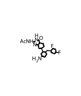 CC(=O)Nc1nc2cc(-c3cc(N)ccc3Cc3ccc(F)cc3F)ccc2c(=O)[nH]1